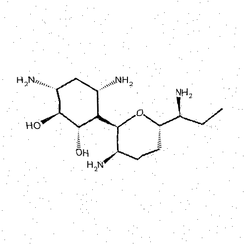 CC[C@H](N)[C@@H]1CC[C@@H](N)[C@@H](C2[C@@H](N)C[C@@H](N)[C@H](O)[C@H]2O)O1